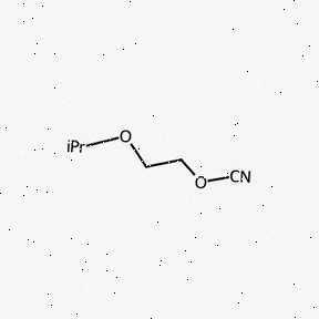 CC(C)OCCOC#N